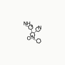 NCc1cccc(-c2cc(=O)n(Cc3ccccc3)cc2-c2ccncc2)c1